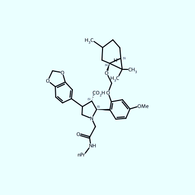 CCCNC(=O)CN1CC(c2ccc3c(c2)OCO3)[C@H](C(=O)O)[C@H]1c1ccc(OC)cc1OCO[C@@]12CC(C)CC[C@H]1C2(C)C